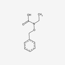 CCN(OCc1ccccc1)C(=O)O